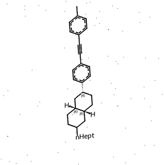 CCCCCCCC1CC[C@@H]2C[C@H](c3ccc(C#Cc4ccc(C)cc4)cc3)CC[C@@H]2C1